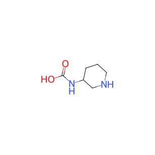 O=C(O)NC1CCCNC1